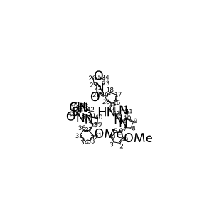 COc1ccccc1-c1ccc2cnc(Nc3cccc(C(=O)N4CCOCC4)c3)nn12.COc1ccccc1-c1ccc2cnc([S+](C)[O-])nn12